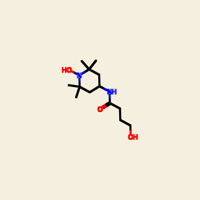 CC1(C)CC(NC(=O)CCCO)CC(C)(C)N1O